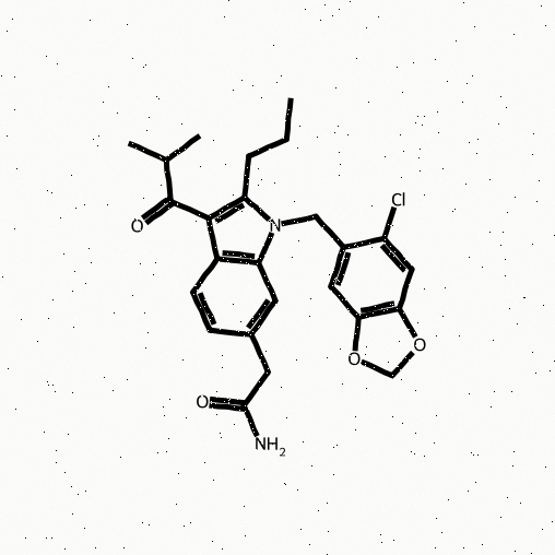 CCCc1c(C(=O)C(C)C)c2ccc(CC(N)=O)cc2n1Cc1cc2c(cc1Cl)OCO2